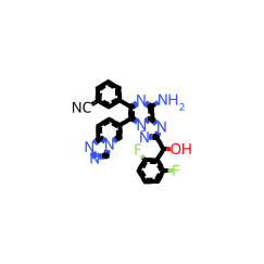 N#Cc1cccc(-c2nc(N)c3nc(C(O)c4c(F)cccc4F)nn3c2-c2ccc3nncn3c2)c1